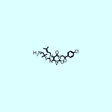 CC(C)=CCn1c(SC(C)(C)CN)nc2c1c(=O)n(CC(=O)c1ccc(Cl)cc1)c(=O)n2C